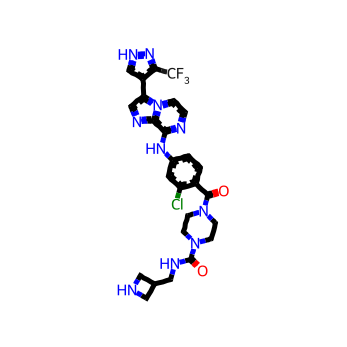 O=C(NCC1CNC1)N1CCN(C(=O)c2ccc(Nc3nccn4c(-c5c[nH]nc5C(F)(F)F)cnc34)cc2Cl)CC1